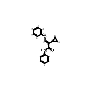 O=C(Nc1ccccc1)C(=COc1ccccc1)C1CC1